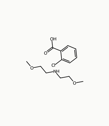 COCCNCCOC.O=C(O)c1ccccc1Cl